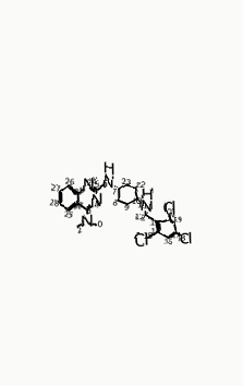 CN(C)c1nc(N[C@H]2CC[C@@H](NCc3c(Cl)cc(Cl)cc3Cl)CC2)nc2ccccc12